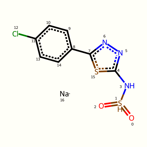 O=[SH](=O)Nc1nnc(-c2ccc(Cl)cc2)s1.[Na]